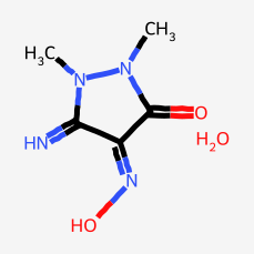 CN1C(=N)C(=NO)C(=O)N1C.O